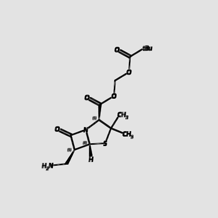 CC(C)(C)C(=O)OCOC(=O)[C@@H]1N2C(=O)[C@H](CN)[C@H]2SC1(C)C